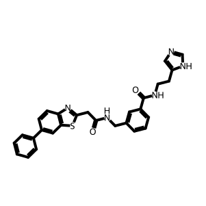 O=C(Cc1nc2ccc(-c3ccccc3)cc2s1)NCc1cccc(C(=O)NCCc2cnc[nH]2)c1